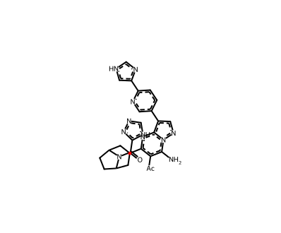 CC(=O)c1c(C2CC3CCC(C2)N3C(=O)c2nnc[nH]2)nc2c(-c3ccc(-c4c[nH]cn4)nc3)cnn2c1N